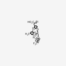 CCOC(Cc1ccc(OCCN(CCOC(F)(F)C(F)(F)C(F)(F)C(F)(F)F)C(=O)Oc2c(C)cc(C)cc2C)cc1)C(=O)O